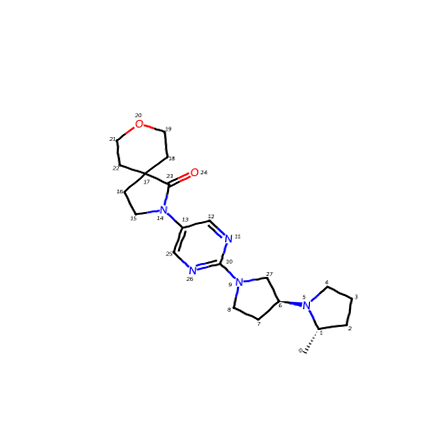 C[C@H]1CCCN1[C@H]1CCN(c2ncc(N3CCC4(CCOCC4)C3=O)cn2)C1